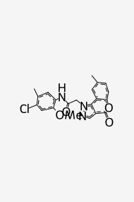 COc1cc(Cl)c(C)cc1NC(=O)Cn1ncc2c(=O)oc3ccc(C)cc3c21